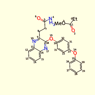 CCC(=O)OC.NC(=O)CCc1nc2ccccc2nc1Oc1ccc(Oc2ccccc2)cc1